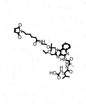 CCOCc1nc2c(NC(=O)[C@H](C)NC(=O)[C@@H](NC(=O)O)C(C)C)nc3ccccc3c2n1CC(C)(C)OCCNC(=O)CCCCCN1C(=O)C=CC1=O